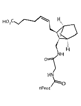 CCCCCC(=O)NCC(=O)NC[C@H]1[C@@H](C/C=C\CCCC(=O)O)[C@H]2CC[C@@H]1S2